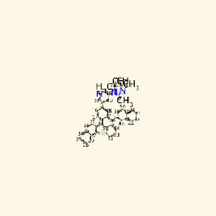 CC1=NC(C)(C)C(C)(C)N1c1cncc(-c2ccc3c(-c4ccc5ccccc5c4)c4ccccc4c(-c4ccc5ccccc5c4)c3c2)c1